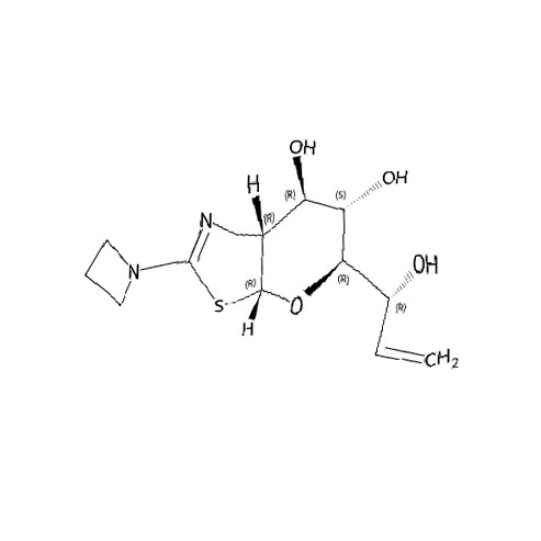 C=C[C@@H](O)[C@H]1O[C@@H]2SC(N3CCC3)=N[C@@H]2[C@@H](O)[C@@H]1O